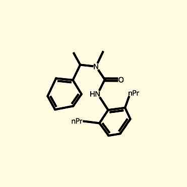 CCCc1cccc(CCC)c1NC(=O)N(C)C(C)c1ccccc1